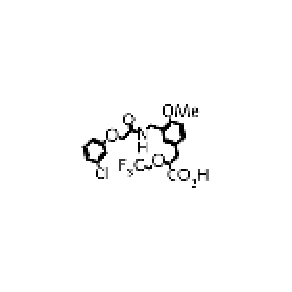 COc1ccc(CC(OCC(F)(F)F)C(=O)O)cc1CNC(=O)COc1cccc(Cl)c1